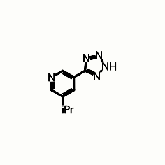 CC(C)c1cncc(-c2nn[nH]n2)c1